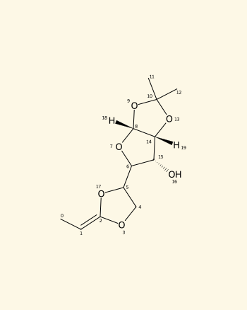 C/C=C1/OCC(C2O[C@@H]3OC(C)(C)O[C@@H]3[C@@H]2O)O1